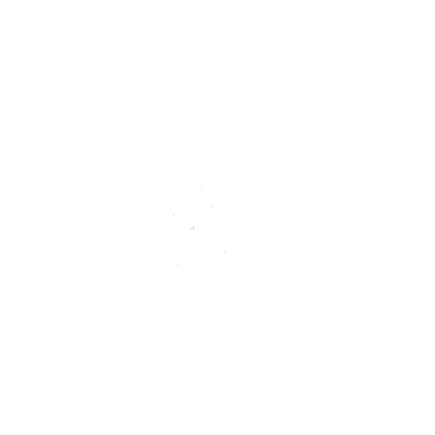 [c]1c2ccccc2c(-c2ccc3coccc2-3)c2ccccc12